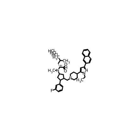 CCn1nc(-c2ccc3ccccc3c2)cc1C1CCN(CC2CC(N(C)[C@H](CC(C)C)C(=O)O)CC2c2cccc(F)c2)CC1.Cl.Cl.Cl